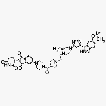 C[C@H]1CN(c2cc(-c3[nH]nc4ccc(OC5(C)CC5)cc34)ncn2)CCN1CCN1CCC(C(=O)N2CCN(c3ccc4c(c3)C(=O)N(C3CCC(=O)NC3=O)C4=O)CC2)CC1